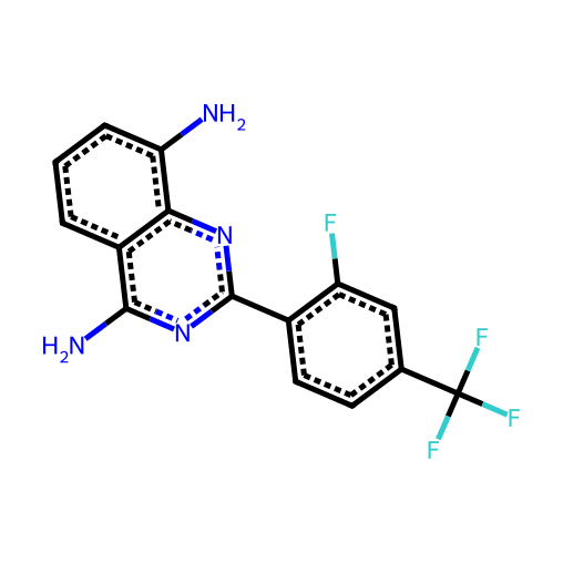 Nc1nc(-c2ccc(C(F)(F)F)cc2F)nc2c(N)cccc12